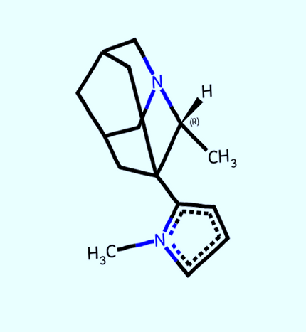 C[C@H]1N2CC3CC(C2)CC1(c1cccn1C)C3